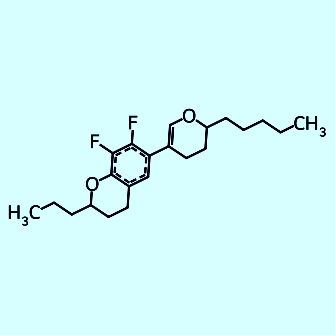 CCCCCC1CCC(c2cc3c(c(F)c2F)OC(CCC)CC3)=CO1